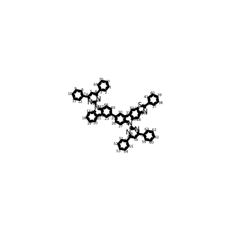 c1ccc(-c2cc(-c3ccccc3)nc(-n3c4ccccc4c4cc(-c5ccc6c(c5)c5cc7sc(-c8ccccc8)nc7cc5n6-c5nc(-c6ccccc6)cc(-c6ccccc6)n5)ccc43)n2)cc1